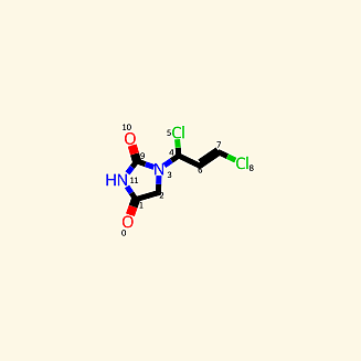 O=C1CN(C(Cl)C=CCl)C(=O)N1